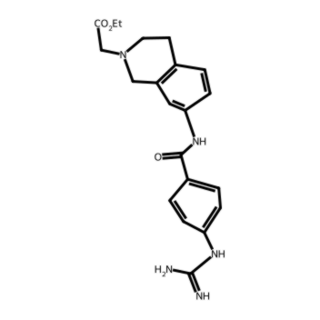 CCOC(=O)CN1CCc2ccc(NC(=O)c3ccc(NC(=N)N)cc3)cc2C1